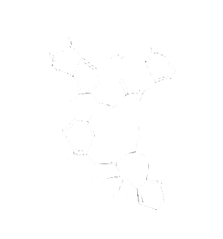 CCC1CN(Cc2cc(C(CC(=O)Nc3cccnc3)c3cc(OC)c4c(nnn4CC)c3C)ccc2C)S(O)(O)c2cccnc2O1